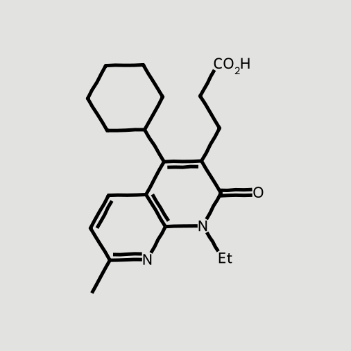 CCn1c(=O)c(CCC(=O)O)c(C2CCCCC2)c2ccc(C)nc21